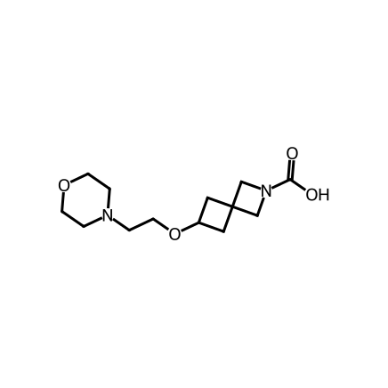 O=C(O)N1CC2(CC(OCCN3CCOCC3)C2)C1